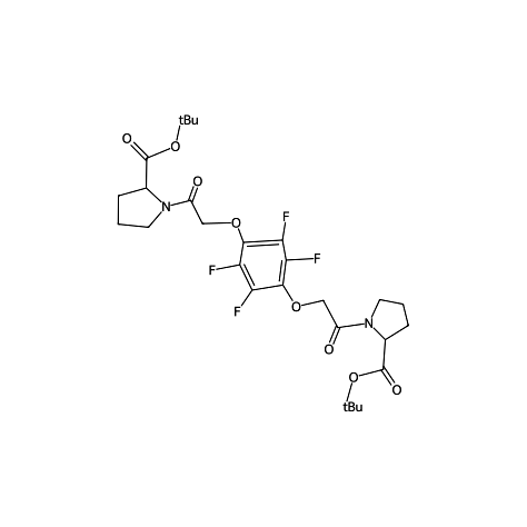 CC(C)(C)OC(=O)C1CCCN1C(=O)COc1c(F)c(F)c(OCC(=O)N2CCCC2C(=O)OC(C)(C)C)c(F)c1F